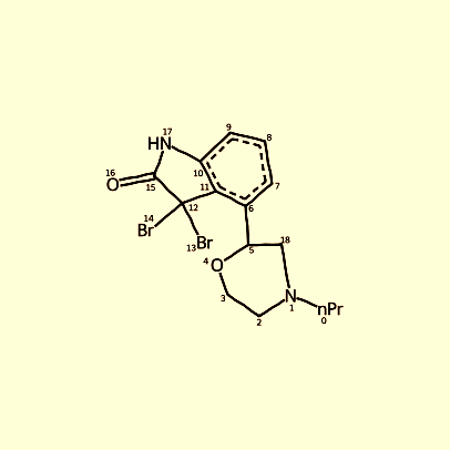 CCCN1CCOC(c2cccc3c2C(Br)(Br)C(=O)N3)C1